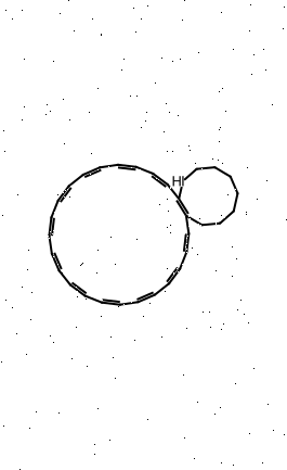 C1=CC=CC=CC=CC=CC=CC2=C(C=CC=CC=CC=CC=C1)CCCCCCC[IH]2